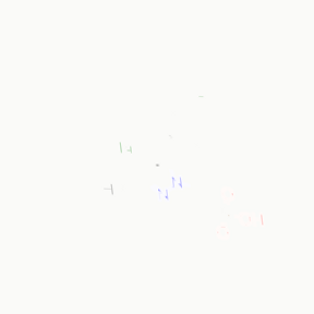 Cc1nn(CCS(=O)(=O)O)c(-c2ccc(F)cc2)c1Br